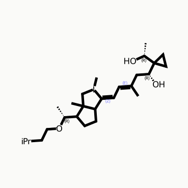 C/C(=C\C=C1\C2CCC([C@@H](C)OCCC(C)C)C2(C)CI1C)C[C@@H](O)C1([C@@H](C)O)CC1